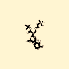 CC(C)(C)OC(=O)N(COCC[Si](C)(C)C)C1=N[C@](C)(c2cccc(F)c2F)C=C(I)S1